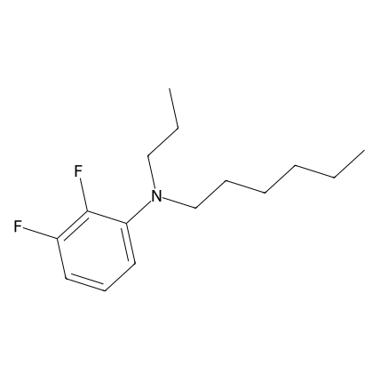 CCCCCCN(CCC)c1cccc(F)c1F